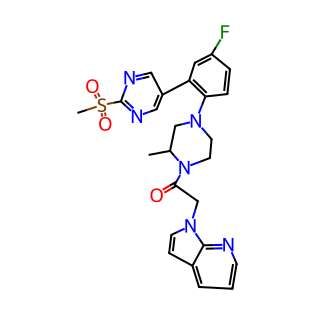 CC1CN(c2ccc(F)cc2-c2cnc(S(C)(=O)=O)nc2)CCN1C(=O)Cn1ccc2cccnc21